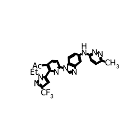 CCn1nc(C(F)(F)F)cc1-c1nc(-n2cnc3cc(Nc4ccc(C)nn4)ccc32)ccc1C(C)=O